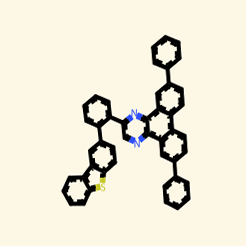 c1ccc(-c2ccc3c4ccc(-c5ccccc5)cc4c4nc(-c5ccccc5-c5ccc6sc7ccccc7c6c5)cnc4c3c2)cc1